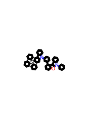 c1ccc(-n2c3ccccc3c3c4c(-c5cccc(-n6c7ccccc7c7cc([Si](c8ccccc8)(c8ccccc8)c8ccccc8)ccc76)c5)cccc4oc32)cc1